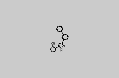 N#CN1CCCC1c1cc(-c2cccc(-c3ccccc3)c2)n[nH]1